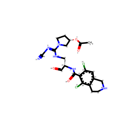 CC(=O)O[C@H]1CCN(/C(=N/C#N)NC[C@@H](C=O)NC(=O)c2c(Cl)cc3c(c2Cl)CCNC3)C1